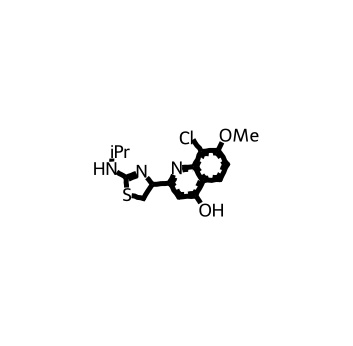 COc1ccc2c(O)cc(C3CSC(NC(C)C)=N3)nc2c1Cl